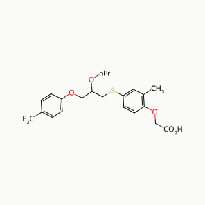 CCCOC(COc1ccc(C(F)(F)F)cc1)CSc1ccc(OCC(=O)O)c(C)c1